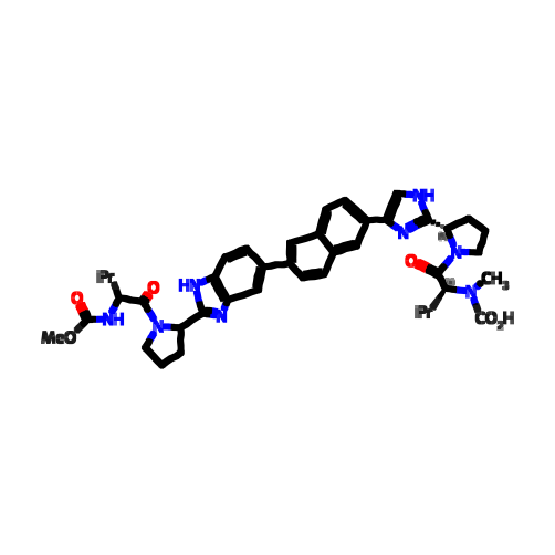 COC(=O)NC(C(=O)N1CCCC1c1nc2cc(-c3ccc4cc(-c5c[nH]c([C@@H]6CCCN6C(=O)[C@H](C(C)C)N(C)C(=O)O)n5)ccc4c3)ccc2[nH]1)C(C)C